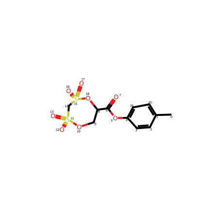 Cc1ccc(OC(=O)C2COS(=O)(=O)CS(=O)(=O)O2)cc1